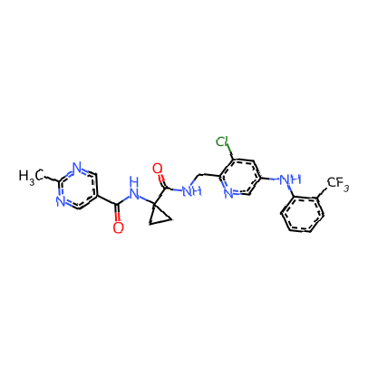 Cc1ncc(C(=O)NC2(C(=O)NCc3ncc(Nc4ccccc4C(F)(F)F)cc3Cl)CC2)cn1